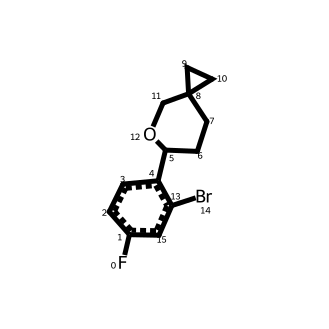 Fc1ccc(C2CCC3(CC3)CO2)c(Br)c1